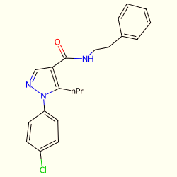 CCCc1c(C(=O)NCCc2ccccc2)cnn1-c1ccc(Cl)cc1